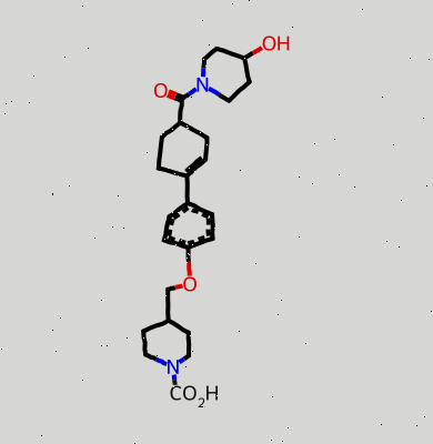 O=C(O)N1CCC(COc2ccc(C3=CCC(C(=O)N4CCC(O)CC4)CC3)cc2)CC1